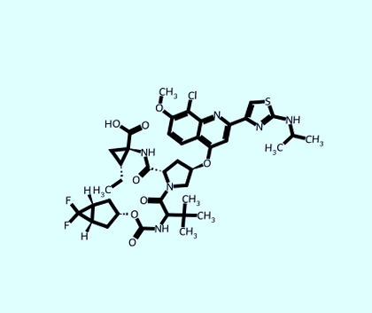 CC[C@@H]1C[C@]1(NC(=O)[C@@H]1C[C@@H](Oc2cc(-c3csc(NC(C)C)n3)nc3c(Cl)c(OC)ccc23)CN1C(=O)C(NC(=O)O[C@H]1C[C@@H]2[C@H](C1)C2(F)F)C(C)(C)C)C(=O)O